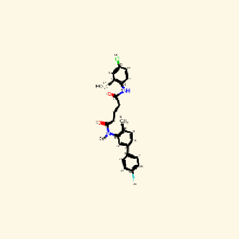 CCN(C(=O)CCCC(=O)Nc1ccc(Cl)cc1C(=O)O)c1cc(-c2ccc(F)cc2)ccc1C